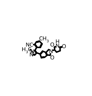 Cc1ccc(-c2c(-c3ccc4c(c3)CN(C3CCC(=O)NC3=O)C4=O)cnn2C)c(C#N)c1